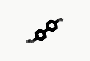 CCCCCCCCc1ccc(C2=CCC(CCC)CC2)cc1